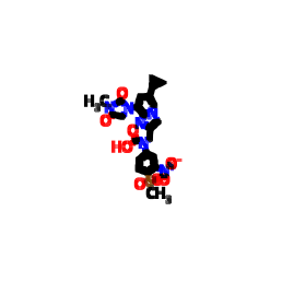 CN1C(=O)CN(c2cc(C3CC3)cn3cc(CN(C(=O)O)c4ccc(S(C)(=O)=O)c([N+](=O)[O-])c4)nc23)C1=O